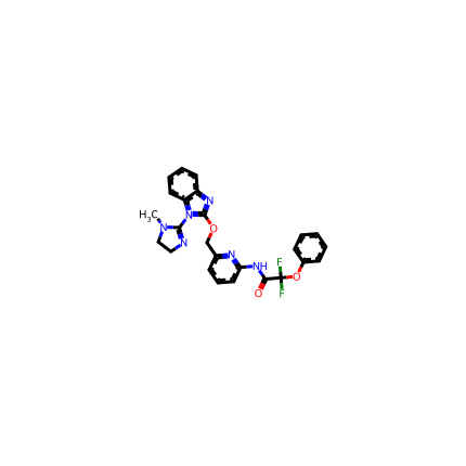 CN1CCN=C1n1c(OCc2cccc(NC(=O)C(F)(F)Oc3ccccc3)n2)nc2ccccc21